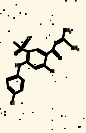 CCc1cc(Nc2ccc(Cl)cc2)c(S(C)(=O)=O)cc1C(=O)N=C(N)N